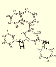 c1ccc(Nc2cc(Nc3ccccc3)cc(-c3cccc4ccccc34)c2)cc1